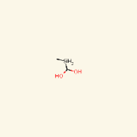 C[SiH2]C(O)O